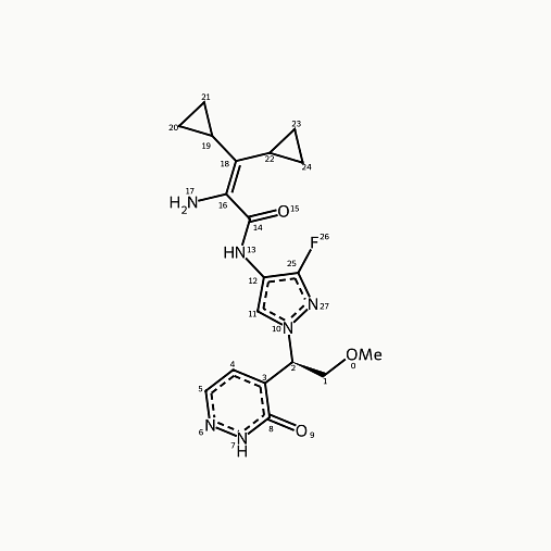 COC[C@@H](c1ccn[nH]c1=O)n1cc(NC(=O)C(N)=C(C2CC2)C2CC2)c(F)n1